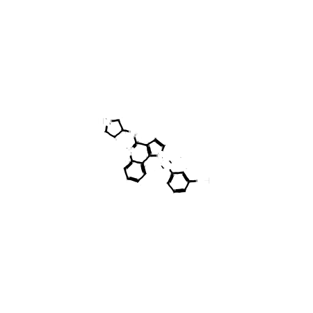 Cc1cccc(S(=O)(=O)n2ccc3c(OC4CCNC4)nc4ccccc4c32)c1